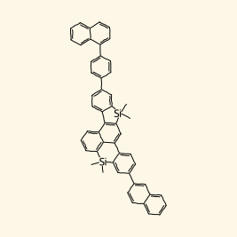 C[Si]1(C)c2cc(-c3ccc(-c4cccc5ccccc45)cc3)ccc2-c2c1cc1c3c(cccc23)[Si](C)(C)c2cc(-c3ccc4ccccc4c3)ccc2-1